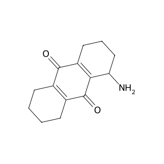 NC1CCCC2=C1C(=O)C1=C(CCCC1)C2=O